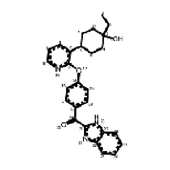 CCC1(O)CCC(c2cccnc2Oc2ccc(C(=O)c3nc4ccccc4[nH]3)cc2)CC1